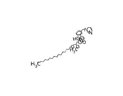 CCCCCCCCCCCCCCCCOCC(COP(=O)(O)Oc1cccc(CN2C=NC=CC2)c1)OC